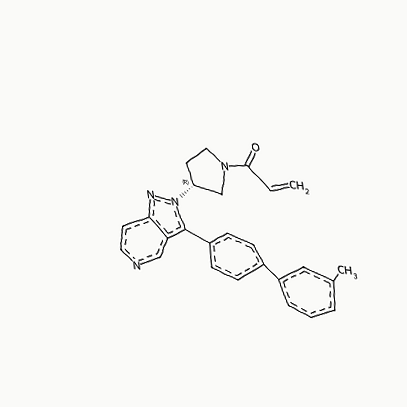 C=CC(=O)N1CC[C@@H](n2nc3ccncc3c2-c2ccc(-c3cccc(C)c3)cc2)C1